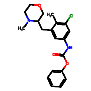 Cc1c(Cl)cc(NC(=O)Oc2ccccc2)cc1CC1COCCN1C